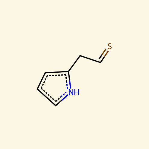 S=CCc1ccc[nH]1